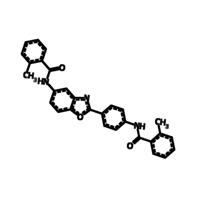 Cc1ccccc1C(=O)Nc1ccc(-c2nc3cc(NC(=O)c4ccccc4C)ccc3o2)cc1